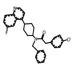 O=C(Cc1ccc(Cl)cc1)N(Cc1ccccc1)C1CCC(c2ccnc3ccc(F)cc23)CC1